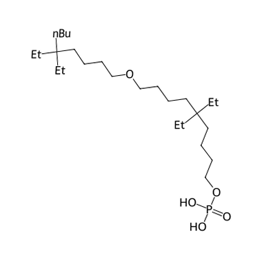 CCCCC(CC)(CC)CCCCOCCCCC(CC)(CC)CCCCOP(=O)(O)O